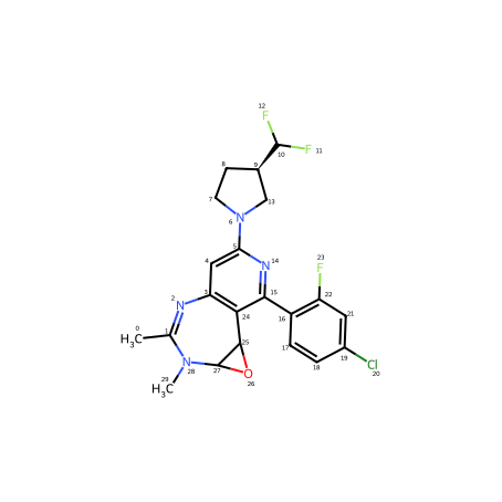 CC1=Nc2cc(N3CC[C@@H](C(F)F)C3)nc(-c3ccc(Cl)cc3F)c2C2OC2N1C